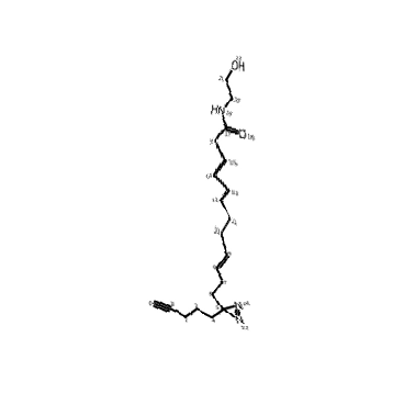 C#CCCCC1(CCC=CCCCCCCCC(=O)NCCO)N=N1